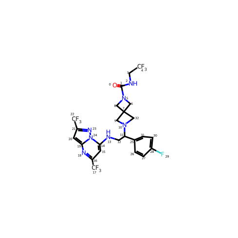 O=C(NCC(F)(F)F)N1CC2(C1)CN(C(CNc1cc(C(F)(F)F)nc3cc(C(F)(F)F)nn13)c1ccc(F)cc1)C2